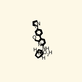 O=C(O)N1[C@@H]2CC[C@H]1C[C@H](Nc1ccc3c(n1)COc1cc(-n4cccn4)ccc1-3)C2